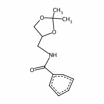 CC1(C)OCC(CNC(=O)c2ccccc2)O1